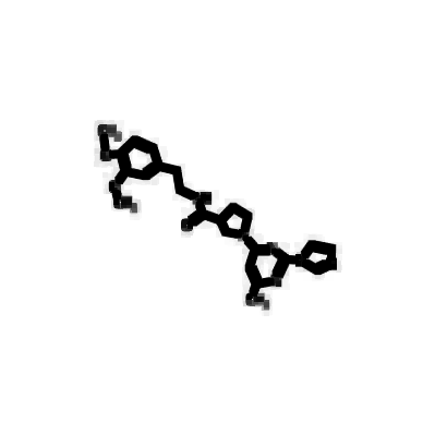 COc1ccc(CCNC(=O)C2CCN(c3cc(C)nc(-n4ccnc4)n3)C2)cc1OC